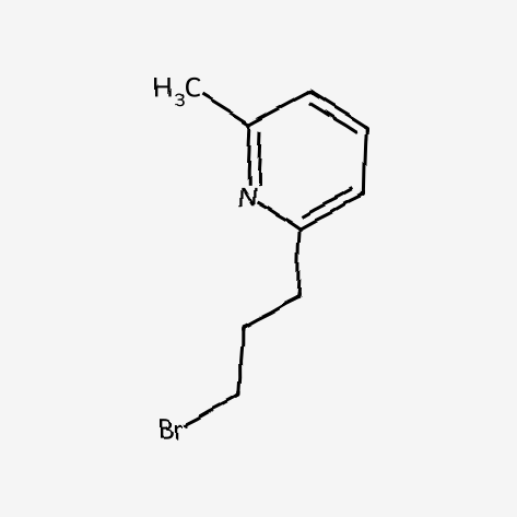 Cc1cccc(CCCBr)n1